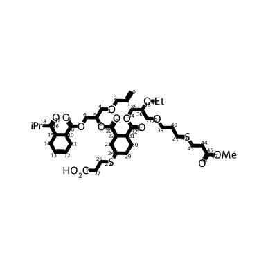 C=CCOCC(COC(=O)C1CC=CCC1C(=O)C(C)C)OC(=O)C1CC(SCCC(=O)O)CCC1C(=O)OCC(COCCCSCCC(=O)OC)OCC